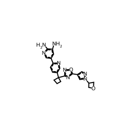 Nc1cc(-c2ccc(C3(c4noc(-c5cnn(C6COC6)c5)n4)CCC3)cn2)cnc1N